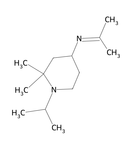 CC(C)=NC1CCN(C(C)C)C(C)(C)C1